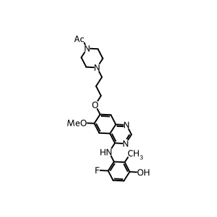 COc1cc2c(Nc3c(F)ccc(O)c3C)ncnc2cc1OCCCN1CCN(C(C)=O)CC1